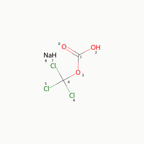 O=C(O)OC(Cl)(Cl)Cl.[NaH]